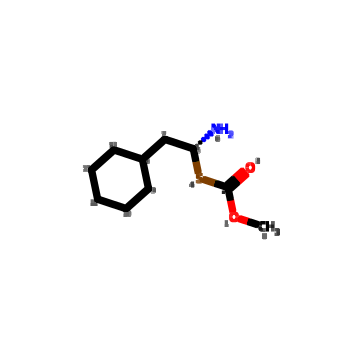 COC(=O)S[C@@H](N)CC1CCCCC1